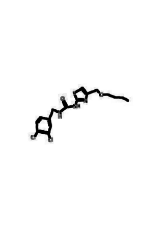 CCCCOCc1csc(NC(=O)NCc2ccc(Cl)c(Cl)c2)n1